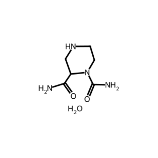 NC(=O)C1CNCCN1C(N)=O.O